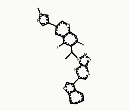 CC(c1c(F)cc2ncc(-c3cnn(C)c3)cc2c1F)n1nnc2ncc(-c3csc4ccccc34)nc21